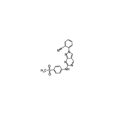 CS(=O)(=O)c1ccc(Nc2ncc3cn(-c4ccccc4C#N)nc3n2)cc1